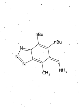 CCCCc1c(CCCC)c2c(c(C)c1=CN)N=NN=2